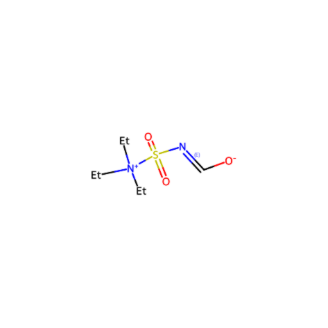 CC[N+](CC)(CC)S(=O)(=O)/N=C/[O-]